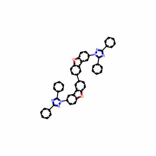 c1ccc(-c2nc(-c3ccccc3)n(-c3ccc4oc5ccc(-c6ccc7oc8ccc(-n9nc(-c%10ccccc%10)nc9-c9ccccc9)cc8c7c6)cc5c4c3)n2)cc1